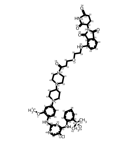 COc1cc(N2CCC(N3CCN(C(=O)CCOCCNc4cccc5c4C(=O)N(C4CCC(=O)NC4=O)C5=O)CC3)CC2)ccc1Nc1ncc(Cl)c(Nc2ccccc2P(C)(C)=O)n1